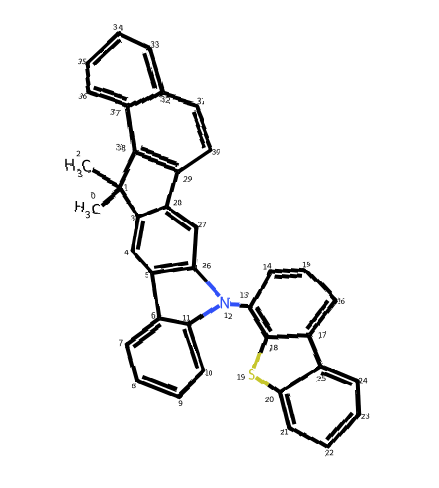 CC1(C)c2cc3c4ccccc4n(-c4cccc5c4sc4ccccc45)c3cc2-c2ccc3ccccc3c21